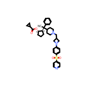 N#CC(c1ccccc1)(C1CCN(CC2CN(c3ccc(S(=O)(=O)c4ccncc4)cc3)C2)CC1)[C@H]1CCC[C@@H]1OC(=O)C1CC1